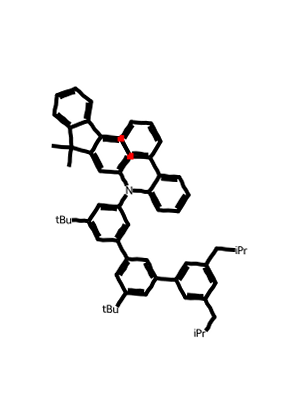 CC(C)Cc1cc(CC(C)C)cc(-c2cc(-c3cc(N(c4ccc5c(c4)C(C)(C)c4ccccc4-5)c4ccccc4-c4ccccc4)cc(C(C)(C)C)c3)cc(C(C)(C)C)c2)c1